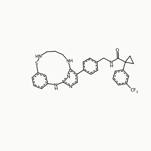 O=C(NCc1ccc(-c2cnc3nc2NCCCNSc2cccc(c2)N3)cc1)C1(c2cccc(C(F)(F)F)c2)CC1